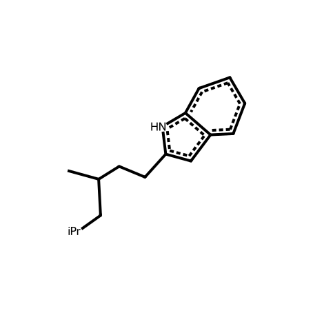 CC(C)CC(C)CCc1cc2ccccc2[nH]1